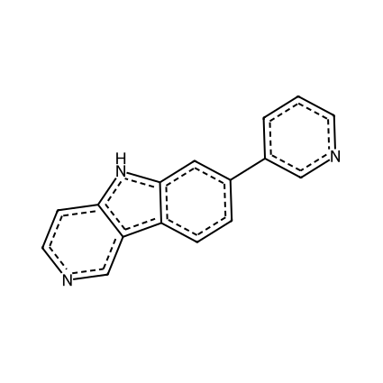 c1cncc(-c2ccc3c(c2)[nH]c2ccncc23)c1